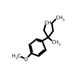 CCCC(C)(CC)c1ccc(OC)cc1